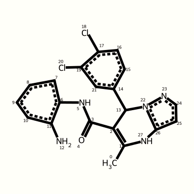 CC1=C(C(=O)Nc2ccccc2N)C(c2ccc(Cl)c(Cl)c2)n2nccc2N1